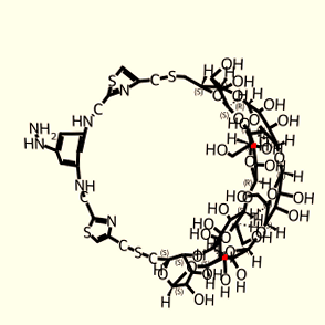 NNc1cc2cc(c1)NCc1nc(cs1)CSC[C@H]1O[C@@H]3O[C@H]4C(O)C(O)[C@H](O[C@@H]4CO)O[C@H]4C(O)C(O)[C@H](O[C@@H]4CO)O[C@H]4C(O)C(O)[C@H](O[C@@H]4CO)O[C@H]4C(O)C(O)[C@H](O[C@@H]4CSCc4csc(n4)CN2)O[C@H]2C(O)C(O)[C@H](O[C@@H]2CO)O[C@H]2C(O)C(O)[C@H](O[C@@H]2CO)O[C@H]1C(O)C3O